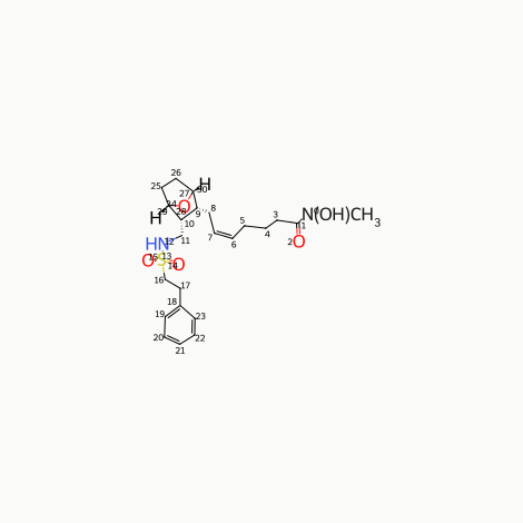 CN(O)C(=O)CCC/C=C\C[C@@H]1[C@H](CNS(=O)(=O)CCc2ccccc2)[C@@H]2CC[C@H]1O2